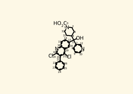 O=C(O)N1CCC(C(O)(c2cccnc2)c2ccc3nc(Cl)c(-c4ccccc4)c(Cl)c3c2)CC1